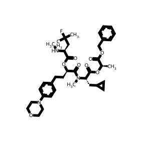 CN[C@@H](CC(C)(C)F)C(=O)O[C@H](CCc1ccc(N2CCOCC2)cc1)C(=O)N(C)[C@@H](CC1CC1)C(=O)O[C@H](C)C(=O)OCc1ccccc1